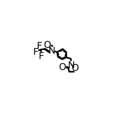 O=C1CCON1Cc1ccc(N2C=C(C(F)(F)F)OC2)cc1